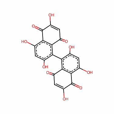 O=C1C(O)=CC(=O)c2c1c(O)cc(O)c2-c1c(O)cc(O)c2c1C(=O)C=C(O)C2=O